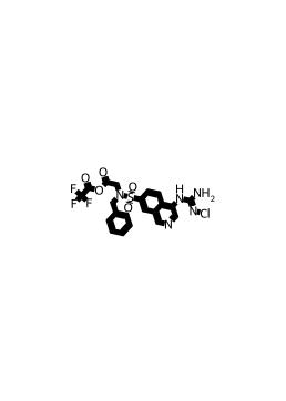 NC(=NCl)Nc1cncc2cc(S(=O)(=O)N(CC(=O)OC(=O)C(F)(F)F)Cc3ccccc3)ccc12